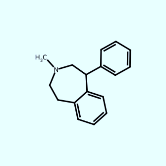 CN1CCc2ccccc2C(c2ccccc2)C1